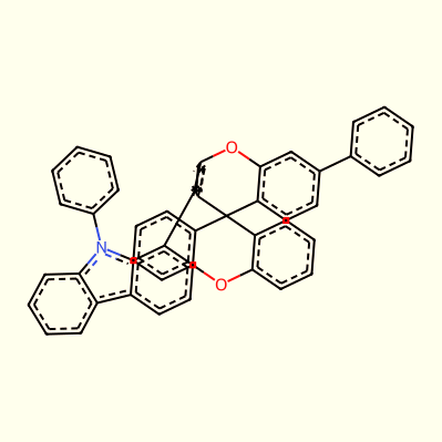 c1ccc(-c2ccc3c(c2)Oc2cccc(-c4cccc5c6ccccc6n(-c6ccccc6)c45)c2C32c3ccccc3Oc3ccccc32)cc1